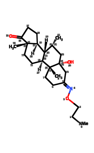 CNCCON=C1CC[C@]2(C)[C@H]3CC[C@]4(C)C(=O)CC[C@H]4[C@@H]3[C@H](C)C[C@@]2(O)C1